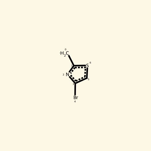 [CH2]c1nc(Br)cs1